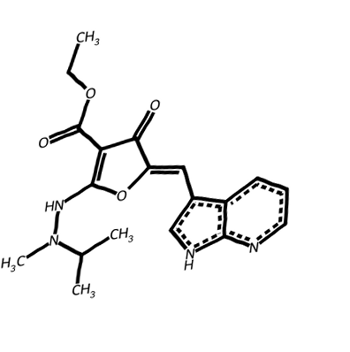 CCOC(=O)C1=C(NN(C)C(C)C)OC(=Cc2c[nH]c3ncccc23)C1=O